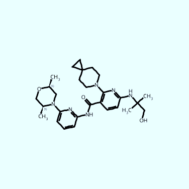 C[C@H]1CN(c2cccc(NC(=O)c3ccc(NC(C)(C)CO)nc3N3CCC4(CC3)CC4)n2)[C@@H](C)CO1